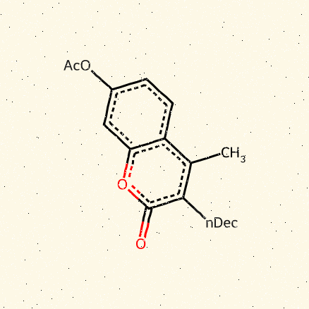 CCCCCCCCCCc1c(C)c2ccc(OC(C)=O)cc2oc1=O